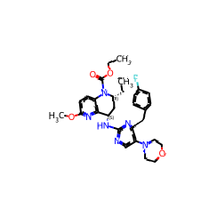 CCOC(=O)N1c2ccc(OC)nc2[C@@H](Nc2ncc(N3CCOCC3)c(Cc3ccc(F)cc3)n2)C[C@H]1CC